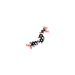 Cc1cc(O[C@H]2C[C@H]([C@](C)(O)CO)C2)cc(C)c1-c1cc(COc2cc3c(cn2)[C@H]2[C@@H](C3)[C@@H]2C(=O)O)c(F)cc1F